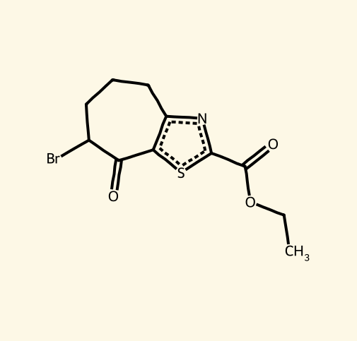 CCOC(=O)c1nc2c(s1)C(=O)C(Br)CCC2